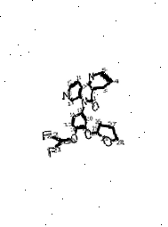 O=C(c1cccnc1)N(c1cccnc1)c1ccc(OC(F)F)c(OC2CCCO2)c1